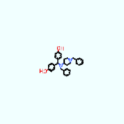 Oc1ccc(C(c2ccc(O)cc2)N(Cc2ccccc2)C2CCN(Cc3ccccc3)CC2)cc1